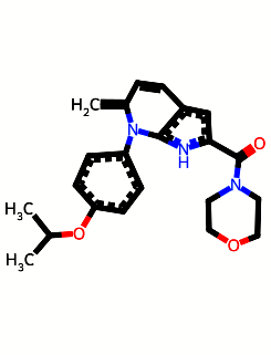 C=C1C=Cc2cc(C(=O)N3CCOCC3)[nH]c2N1c1ccc(OC(C)C)cc1